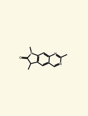 Cc1ncc2cc3c(cc2n1)N(C)C(=O)C3C